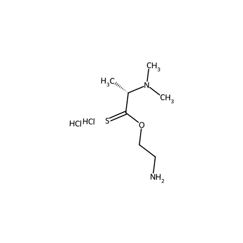 C[C@@H](C(=S)OCCN)N(C)C.Cl.Cl